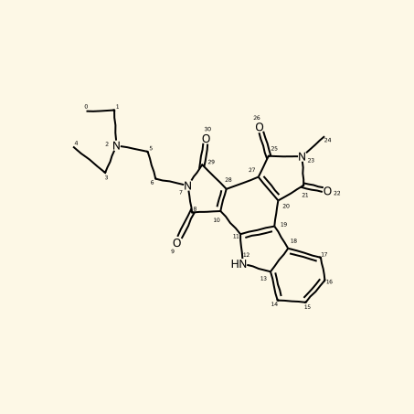 CCN(CC)CCn1c(=O)c2c3[nH]c4ccccc4c3c3c(=O)n(C)c(=O)c3c2c1=O